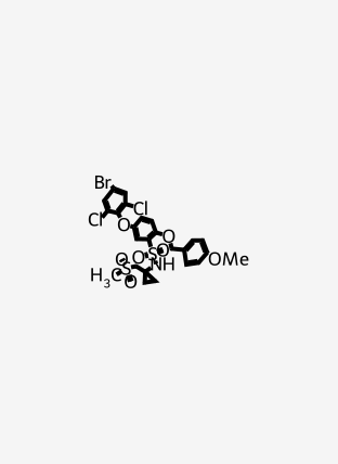 COc1ccc(COc2ccc(Oc3c(Cl)cc(Br)cc3Cl)cc2S(=O)(=O)NC2(CS(C)(=O)=O)CC2)cc1